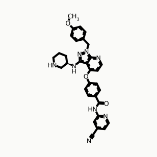 COc1ccc(Cn2nc(N[C@@H]3CCCNC3)c3c(Oc4ccc(C(=O)Nc5cc(C#N)ccn5)cc4)ccnc32)cc1